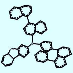 C1=CC2Oc3cc(N(c4ccc(-c5cccc6cccc(-c7ccccc7)c56)cc4)c4ccc(-c5cccc6ccccc56)c5ccccc45)ccc3C2C=C1